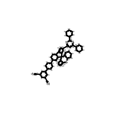 N#Cc1cc(C#N)cc(-c2ccc(-c3ccc4c(c3)C3(c5ccccc5Sc5ccccc53)c3cc(-c5cc(-c6ccccc6)nc(-c6ccccc6)n5)ccc3-4)cc2)c1